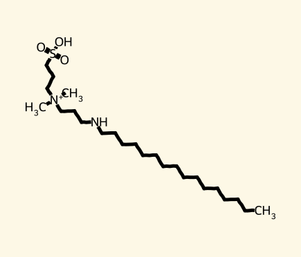 CCCCCCCCCCCCCCCCNCCC[N+](C)(C)CCCS(=O)(=O)O